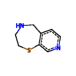 c1cc2c(cn1)SCCNC2